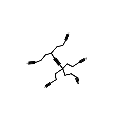 N#CCCC(C#CC(CCC#N)(CCC#N)CCC#N)CCC#N